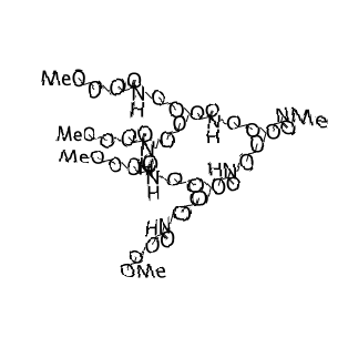 CNC(=O)COC(COCCOCCNC(=O)COC(COCCOCCNC(=O)COCCOCCOC)COCCOCCNC(=O)COCCOCCOC)COCCOCCNC(=O)COC(COCCOCCNC(=O)COCCOCCOC)COCCOCCNC(=O)COCCOCCOC